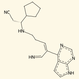 N#CC[C@@H](NCC/C=C(\C=N)c1ncnc2[nH]ccc12)C1CCCC1